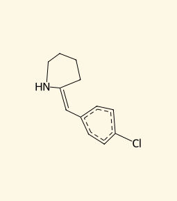 Clc1ccc(C=C2CCCCN2)cc1